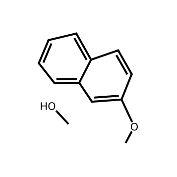 CO.COc1ccc2ccccc2c1